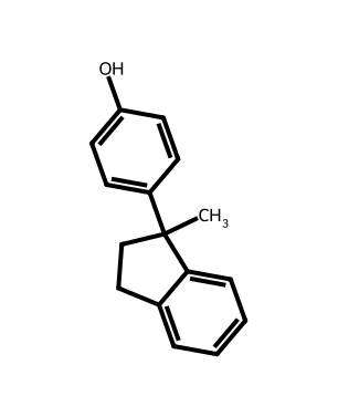 CC1(c2ccc(O)cc2)CCc2ccccc21